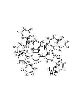 C#C/C=C\c1oc2c(cc(-c3ccc4c5ccccc5c5ccccc5c4c3)c3c2c2c4ccccc4ccc2n3-c2ccc(N(c3ccccc3)c3ccccc3)cc2)c1C